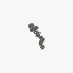 CC1(C)c2cc(-c3ccc4c(c3)-c3cc5ccc6c7ccccc7sc6c5cc3C4(C)C)ccc2-c2ccc(-c3c4ccccc4c(-c4cccc5ccccc45)c4ccccc34)cc21